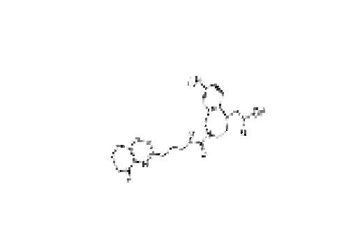 Nc1ccc2c(c1)CN(C(=O)NCCCc1ccc3c(n1)NCCC3)CCC2CC(=O)O